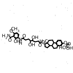 COc1ccc(NC(=O)CCC(O)C(O)CCC(=O)OC2CCC3C4CCc5cc(OP(=O)(O)O)ccc5C4CCC23C)c(O)c1C(N)=O